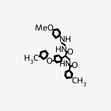 COc1ccc(NCCNC(=O)C(CNC(=O)c2cccc(C)c2)c2ccc(Oc3cccc(C)c3)cc2)cc1